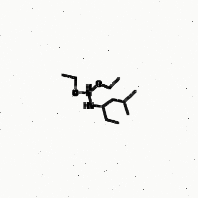 CCO[SiH](NC(CC)CC(C)C)OCC